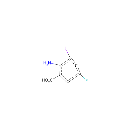 Nc1c(I)cc(F)cc1C(=O)O